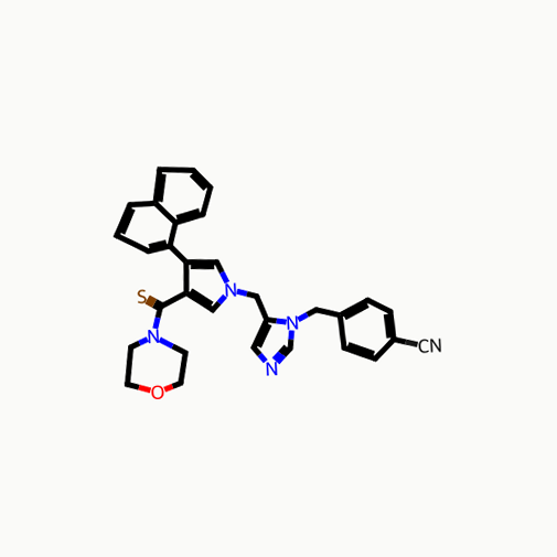 N#Cc1ccc(Cn2cncc2Cn2cc(C(=S)N3CCOCC3)c(-c3cccc4ccccc34)c2)cc1